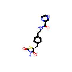 O=C1NC(=O)[C@H](Cc2ccc(CCNC(=O)c3cnccn3)cc2)S1